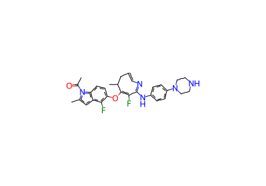 CC(=O)n1c(C)cc2c(F)c(O/C3=C(F)/C(Nc4ccc(N5CCNCC5)cc4)=N\C=C\CC3C)ccc21